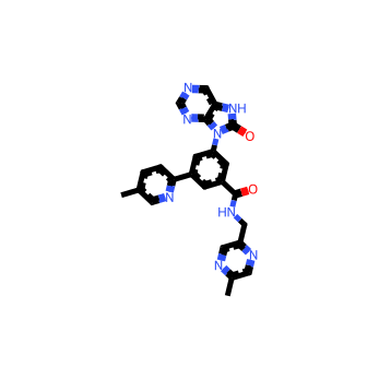 Cc1ccc(-c2cc(C(=O)NCc3cnc(C)cn3)cc(-n3c(=O)[nH]c4cncnc43)c2)nc1